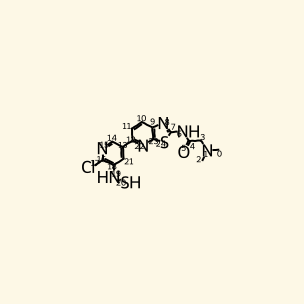 CN(C)CC(=O)Nc1nc2ccc(-c3cnc(Cl)c(NS)c3)nc2s1